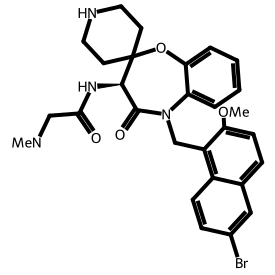 CNCC(=O)N[C@@H]1C(=O)N(Cc2c(OC)ccc3cc(Br)ccc23)c2ccccc2OC12CCNCC2